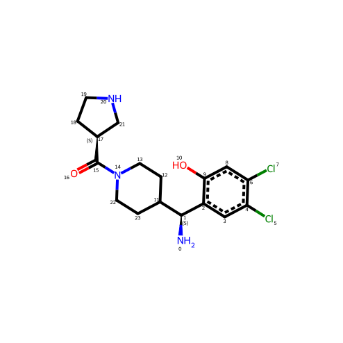 N[C@H](c1cc(Cl)c(Cl)cc1O)C1CCN(C(=O)[C@H]2CCNC2)CC1